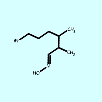 CC(C)CCCC(C)C(C)C=NO